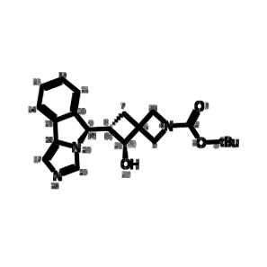 CC(C)(C)OC(=O)N1CC2(C[C@@H]([C@@H]3c4ccccc4-c4cncn43)[C@@H]2O)C1